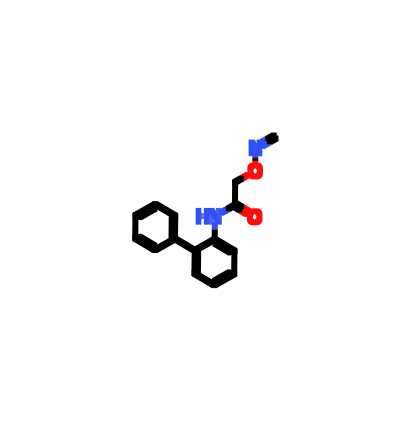 C=NOCC(=O)Nc1ccccc1-c1ccccc1